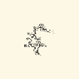 CCCCCC(C)(C)OOC(=O)OCC(C)(COC(=O)OOC(C)(C)CCCCC)COC(=O)OOC(C)(C)CCCCC